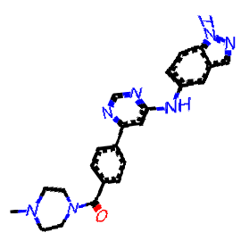 CN1CCN(C(=O)c2ccc(-c3cc(Nc4ccc5[nH]ncc5c4)ncn3)cc2)CC1